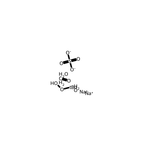 C=O.CC(C)(C)OO.O.O.O=S(=O)([O-])[O-].[Na+].[Na+]